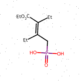 CCOC(=O)/C(CC)=C(\CC)CP(=O)(O)O